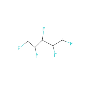 F[CH]C(F)C(F)C(F)CF